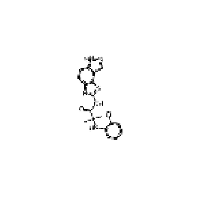 CC(C)(Nc1ccccc1Cl)C(=O)Nc1nc2ccc3[nH]ncc3c2s1